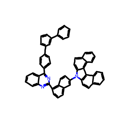 c1ccc(-c2cccc(-c3ccc(-c4nc(-c5cccc6cc(-n7c8ccc9ccccc9c8c8c9ccccc9ccc87)ccc56)nc5ccccc45)cc3)c2)cc1